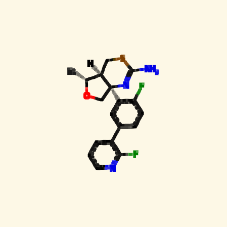 CC[C@H]1OC[C@]2(c3cc(-c4cccnc4F)ccc3F)N=C(N)SC[C@H]12